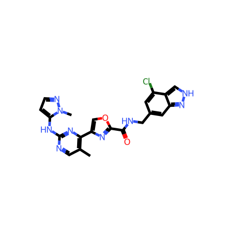 Cc1cnc(Nc2ccnn2C)nc1-c1coc(C(=O)NCc2cc(Cl)c3c[nH]nc3c2)n1